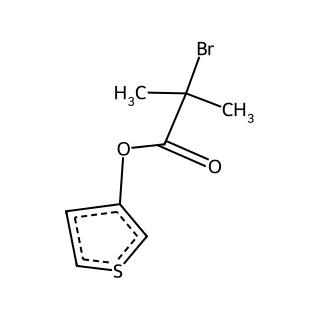 CC(C)(Br)C(=O)Oc1ccsc1